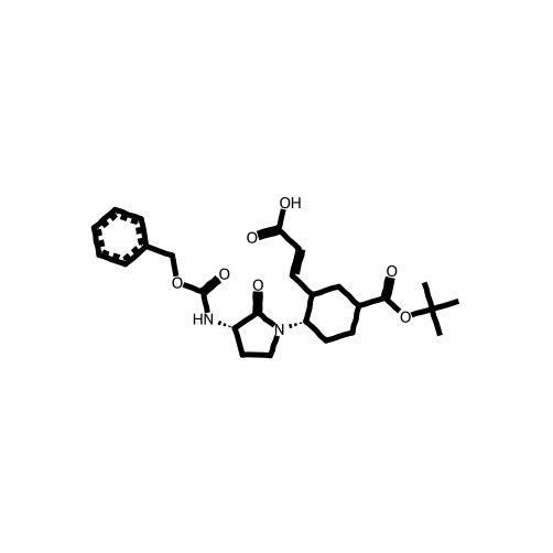 CC(C)(C)OC(=O)C1CC[C@H](N2CC[C@H](NC(=O)OCc3ccccc3)C2=O)C(C=CC(=O)O)C1